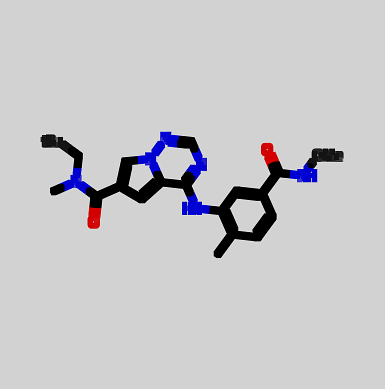 CONC(=O)c1ccc(C)c(Nc2ncnn3cc(C(=O)N(C)CC(C)(C)C)cc23)c1